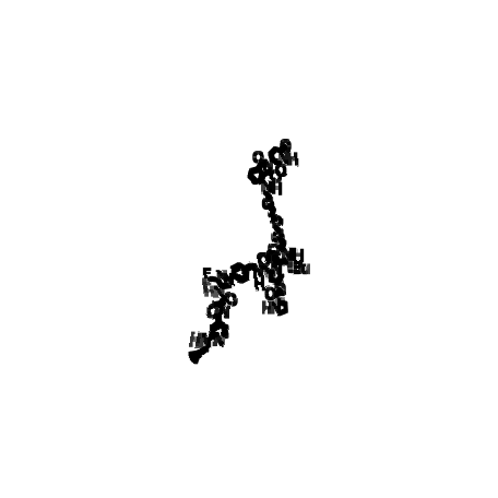 CC(C)(C)[C@H](NC(=O)COCCOCCOCCNc1cccc2c1C(=O)N(C1CCC(=O)NC1=O)C2=O)C(=O)N1C[C@H](OC(=O)[C@@H]2CCCN2)C[C@H]1C(=O)NCc1ccc(-n2cc(NC(=O)c3coc(-c4ccnc(NCC5CC5)c4)n3)c(C(F)F)n2)cc1